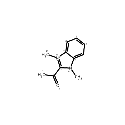 CC(=O)c1n(C)c2ccccc2[n+]1C